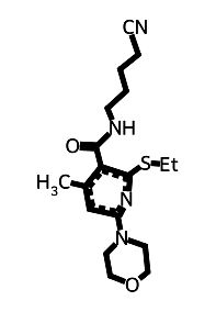 CCSc1nc(N2CCOCC2)cc(C)c1C(=O)NCCCCC#N